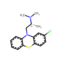 C[C@H](CN1c2ccccc2Sc2ccc(Cl)cc21)N(C)C